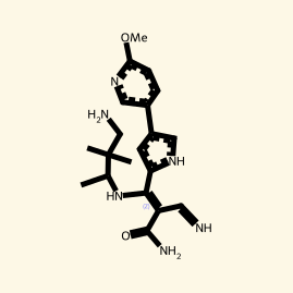 COc1ccc(-c2c[nH]c(/C(NC(C)C(C)(C)CN)=C(\C=N)C(N)=O)c2)cn1